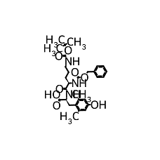 Cc1cc(O)cc(C)c1C[C@H](NC(=O)[C@@H](CCCNC(=O)OC(C)(C)C)NC(=O)OCc1ccccc1)C(=O)O